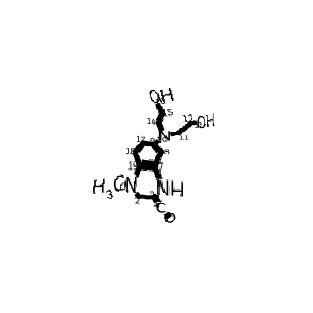 CN1CC(=C=O)Nc2cc(N(CCO)CCO)ccc21